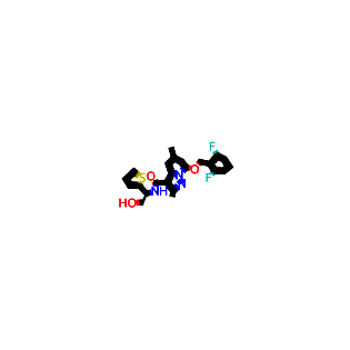 Cc1cc(OCc2c(F)cccc2F)n2nc(C)c(C(=O)N[C@@H](CO)c3cccs3)c2c1